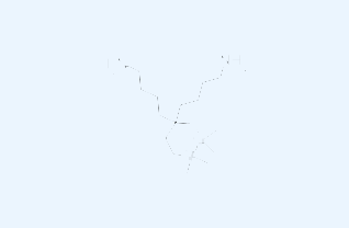 C[Si]1(C)CCC(CCCCN)(CCCCN)O[Si]1(C)C